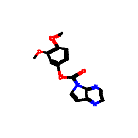 COc1ccc(OC(=O)n2ccc3nccnc32)cc1OC